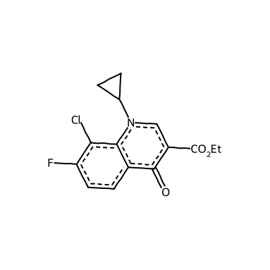 CCOC(=O)c1cn(C2CC2)c2c(Cl)c(F)ccc2c1=O